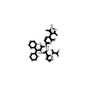 Cc1n[nH]c(C)c1-c1ccc(NC(=O)[C@@H](NC(=O)c2ccnn2C(C)C(F)F)C(C2CCCCC2)C2CCCCC2)nc1F